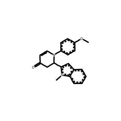 COc1ccc(N2C=CC(=O)CC2c2cc3ccccc3n2C)cc1